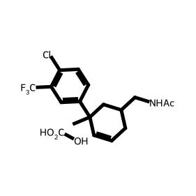 CC(=O)NCC1CC=CC(C)(c2ccc(Cl)c(C(F)(F)F)c2)C1.O=C(O)O